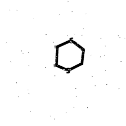 [C]1[C]SCCS1